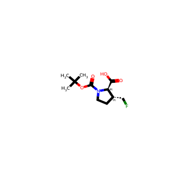 CC(C)(C)OC(=O)N1CC[C@@H](CF)[C@@H]1C(=O)O